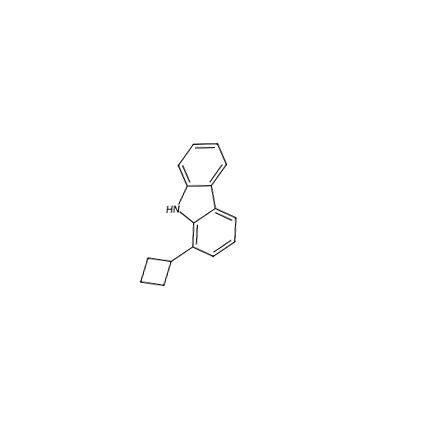 c1ccc2c(c1)[nH]c1c(C3CCC3)cccc12